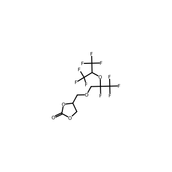 O=C1OCC(COCC(F)(OC(C(F)(F)F)C(F)(F)F)C(F)(F)F)O1